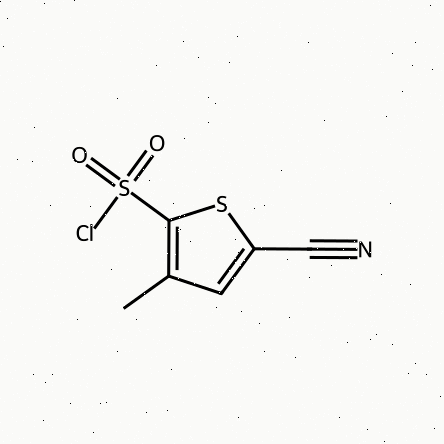 Cc1cc(C#N)sc1S(=O)(=O)Cl